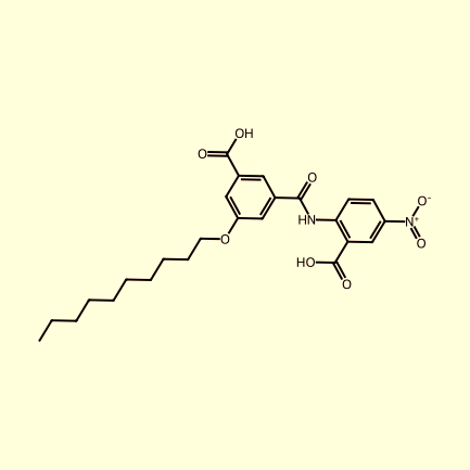 CCCCCCCCCCOc1cc(C(=O)O)cc(C(=O)Nc2ccc([N+](=O)[O-])cc2C(=O)O)c1